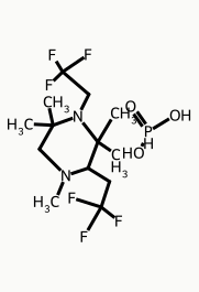 CN1CC(C)(C)N(CC(F)(F)F)C(C)(C)C1CC(F)(F)F.O=[PH](O)O